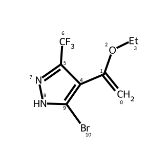 C=C(OCC)c1c(C(F)(F)F)n[nH]c1Br